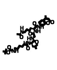 CC(=O)NCCCC[C@H](NC(=O)CNC(=O)[C@@H](CC(C)C)NC(=O)CCCCCNC(=O)OC(C)(C)C)C(=O)Nc1ccc2c(C)cc(=O)oc2c1